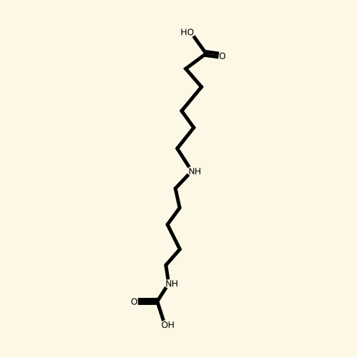 O=C(O)CCCCCNCCCCCNC(=O)O